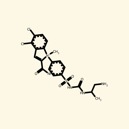 CC(CN)NC(=O)NS(=O)(=O)c1ccc([N+]2(C)C(C(N)=O)=Cc3c2ccc(Cl)c3Cl)cc1